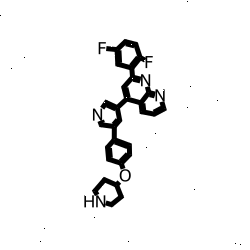 Fc1ccc(F)c(-c2cc(-c3cncc(-c4ccc(OC5CCNCC5)cc4)c3)c3cccnc3n2)c1